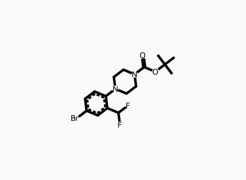 CC(C)(C)OC(=O)N1CCN(c2ccc(Br)cc2C(F)F)CC1